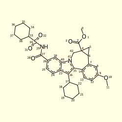 COC(=O)C12CC1c1cc(OC)ccc1-c1c(C3CCCCC3)c3ccc(C(=O)NS(=O)(=O)C4CCCCC4)cc3n1C2